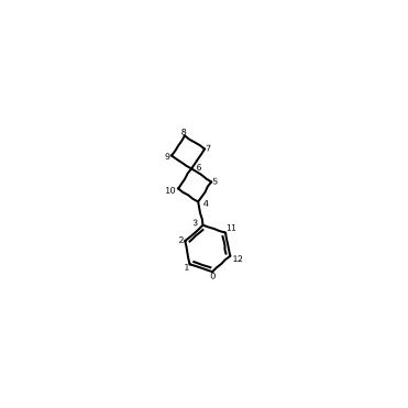 c1ccc(C2CC3(CCC3)C2)cc1